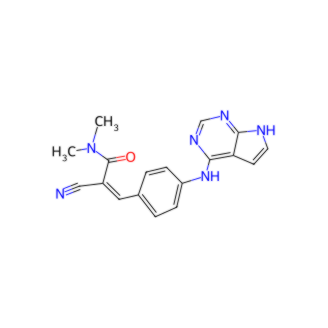 CN(C)C(=O)C(C#N)=Cc1ccc(Nc2ncnc3[nH]ccc23)cc1